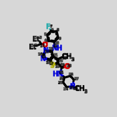 CCC(CC)Oc1cc(F)ccc1Nc1ncnc2sc(C(=O)NC3CCN(C)CC3)c(C)c12